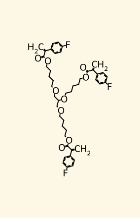 C=C(C(=O)OCCCCCOCC(COCCCCCOC(=O)C(=C)c1ccc(F)cc1)OCCCCCOC(=O)C(=C)c1ccc(F)cc1)c1ccc(F)cc1